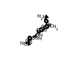 COc1ccc(S(=O)(=O)N2CCC3(CC2)C[C@H](NCC(O)COc2cccc(S(=O)(=O)C4(CO)CC4)c2)CO3)cc1-c1ccc(C2(N)CC2)cc1